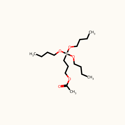 CCCCO[Si](CCCOC(C)=O)(OCCCC)OCCCC